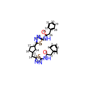 O=C(Cc1ccccc1)Nc1nnc(CC2CCC(c3nnc(NC(=O)Cc4ccccc4)s3)C2)s1